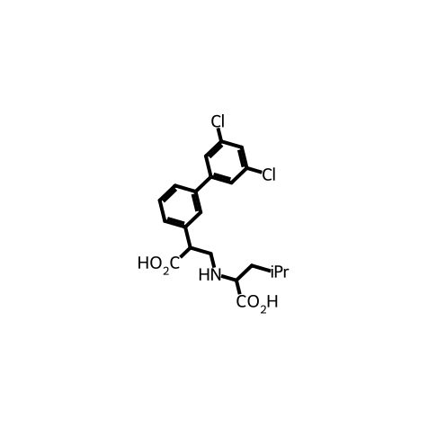 CC(C)CC(NCC(C(=O)O)c1cccc(-c2cc(Cl)cc(Cl)c2)c1)C(=O)O